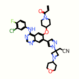 C=CC(=O)N1CCC(Oc2cc3c(Nc4ccc(F)c(Cl)c4)ncnc3cc2-c2cnn(C3(CC#N)CN(C4CCOCC4)C3)c2)CC1